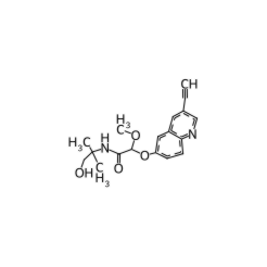 C#Cc1cnc2ccc(OC(OC)C(=O)NC(C)(C)CO)cc2c1